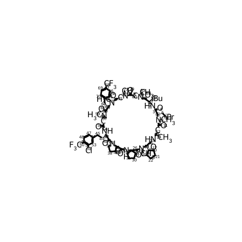 CC[C@H](C)[C@@H]1NC(=O)[C@H](CC(C)C)N(C)C(=O)C[C@@H](C)NC(=O)[C@H](C2CCCC2)N(C)C(=O)C2(CCCC2)NC(=O)[C@@H]2CCCN2C(=O)[C@H](CCc2ccc(C(F)(F)F)c(Cl)c2)NC(=O)CN(C)C(=O)[C@H](Cc2ccc(C(F)(F)F)cc2)N(C)C(=O)CN(C)C(=O)CN(C)C1=O